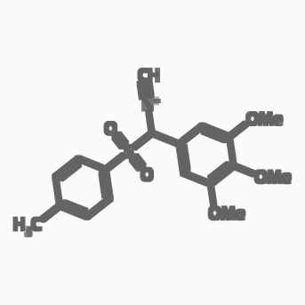 C#[N+]C(c1cc(OC)c(OC)c(OC)c1)S(=O)(=O)c1ccc(C)cc1